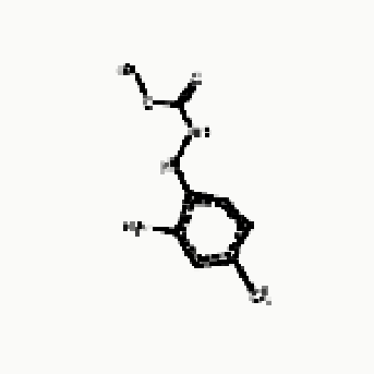 CC(C)(C)OC(=O)NNc1ccc(C(F)(F)F)cc1N